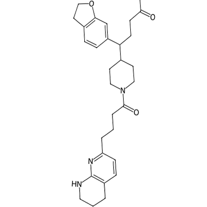 COC(=O)CCC(c1ccc2c(c1)OCC2)C1CCN(C(=O)CCCc2ccc3c(n2)NCCC3)CC1